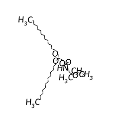 CCCCCCCCCCCCCCOC[C@H](COC(=O)NCCC(C)(C)OCC)OCCCCCCCCCCCCCC